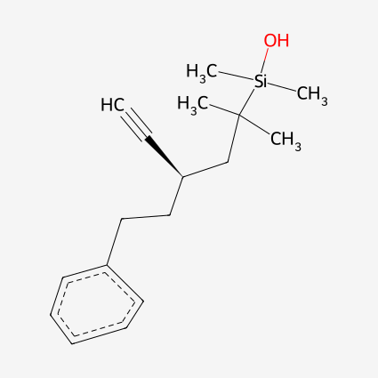 C#C[C@H](CCc1ccccc1)CC(C)(C)[Si](C)(C)O